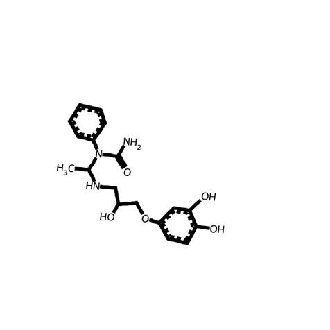 CC(NCC(O)COc1ccc(O)c(O)c1)N(C(N)=O)c1ccccc1